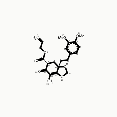 C=CCOC(=O)[C@@H]1C[C@]2(CCc3ccc(OC)c(OC)c3)OCOC2=C(C)C1=O